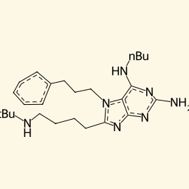 CCCCNc1nc(N)nc2nc(CCCCNC(C)(C)C)n(CCCc3ccccc3)c12